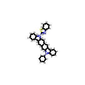 c1ccc(-n2c3ccccc3c3cc4cc5c(cc4cc32)c2ccccc2n5-c2nc3ccccc3s2)cc1